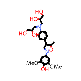 COc1cc(N2CC(c3ccc(N(CC(O)CO)CC(O)CO)cc3)=C(C)O2)cc(OC)c1O